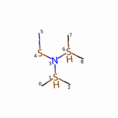 C[SH](C)N(SI)[SH](C)C